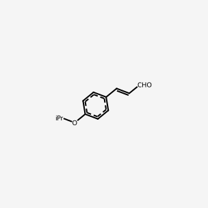 CC(C)Oc1ccc(C=CC=O)cc1